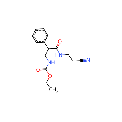 CCOC(=O)NCC(C(=O)NCCC#N)c1ccccc1